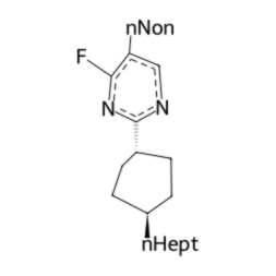 CCCCCCCCCc1cnc([C@H]2CC[C@H](CCCCCCC)CC2)nc1F